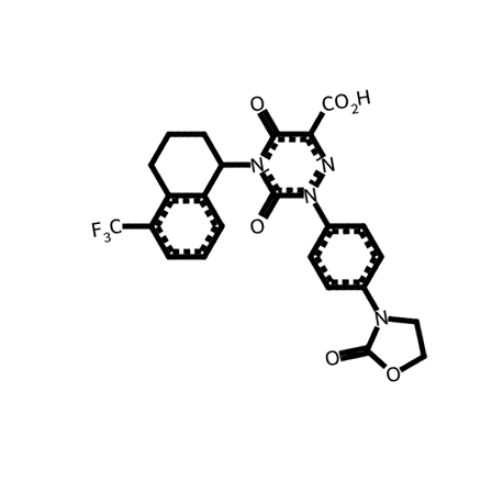 O=C(O)c1nn(-c2ccc(N3CCOC3=O)cc2)c(=O)n(C2CCCc3c2cccc3C(F)(F)F)c1=O